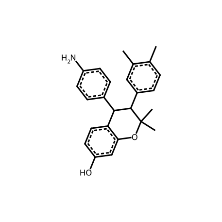 Cc1ccc(C2C(c3ccc(N)cc3)c3ccc(O)cc3OC2(C)C)cc1C